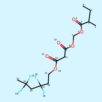 CCC(C)C(=O)OCOC(=O)CC(=O)OCCC(F)(F)CC(C)(F)F